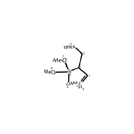 C=CC(CCCCCCC)[Si](OC)(OC)OC